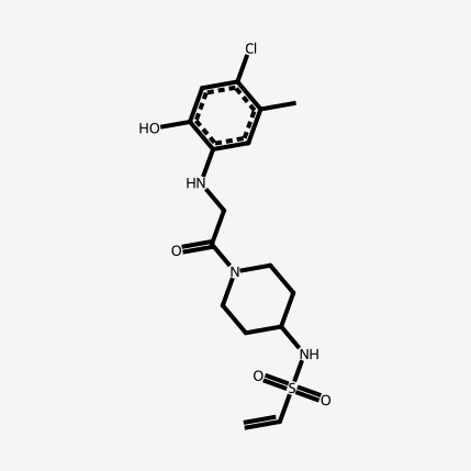 C=CS(=O)(=O)NC1CCN(C(=O)CNc2cc(C)c(Cl)cc2O)CC1